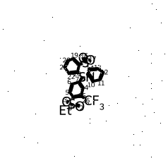 CCS(=O)(=O)c1ccc([SH]2c3ccccc3S(=O)(=O)c3ccccc32)cc1C(F)(F)F